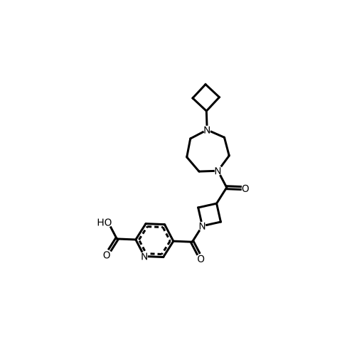 O=C(O)c1ccc(C(=O)N2CC(C(=O)N3CCCN(C4CCC4)CC3)C2)cn1